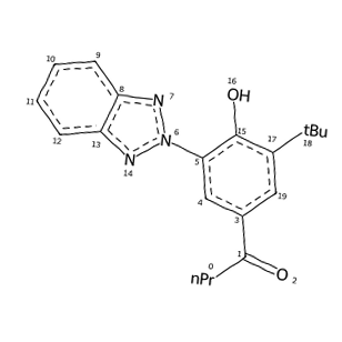 CCCC(=O)c1cc(-n2nc3ccccc3n2)c(O)c(C(C)(C)C)c1